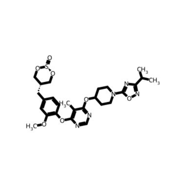 COc1cc(C[C@H]2CO[S@](=O)OC2)ccc1Oc1ncnc(OC2CCN(c3nc(C(C)C)no3)CC2)c1C